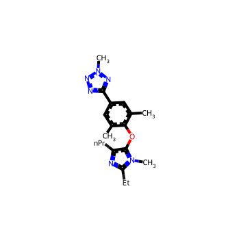 CCCc1nc(CC)n(C)c1Oc1c(C)cc(-c2nnn(C)n2)cc1C